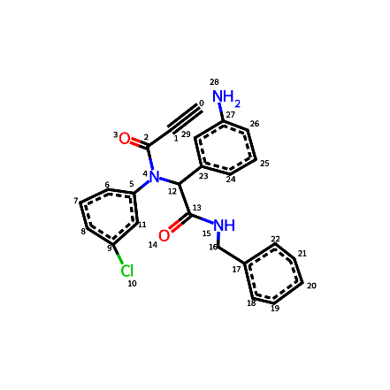 C#CC(=O)N(c1cccc(Cl)c1)C(C(=O)NCc1ccccc1)c1cccc(N)c1